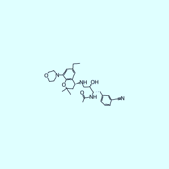 CCc1cc2c(c(N3CCOCC3)c1)OC(C)(C)C[C@@H]2NC[C@@H](O)[C@H](Cc1cccc(C#N)c1)NC(C)=O